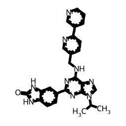 CC(C)n1cnc2c(NCc3ccc(-c4cccnc4)nc3)nc(-c3ccc4[nH]c(=O)[nH]c4c3)nc21